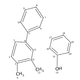 Cc1ccc(-c2ccccc2)cc1C.Oc1ccccc1